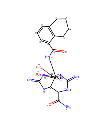 N=C1NC2C(C(N)=O)NC(=N)N3CC(NC(=O)c4cccc5c4CCCC5)C(O)(O)C23N1